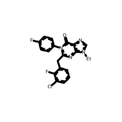 CCn1cnc2c(=O)n(-c3ccc(F)cc3)c(Cc3cccc(Cl)c3F)nc21